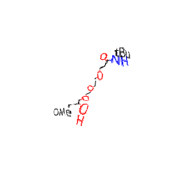 COCC(O)COCCOCCOCCC(=O)NC(C)(C)C